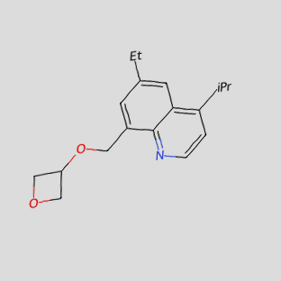 CCc1cc(COC2COC2)c2nccc(C(C)C)c2c1